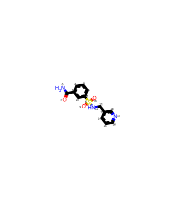 NC(=O)c1cccc(S(=O)(=O)NCc2cccnc2)c1